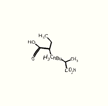 CCC(C)C(=O)O.CCCCC(C)C(=O)O